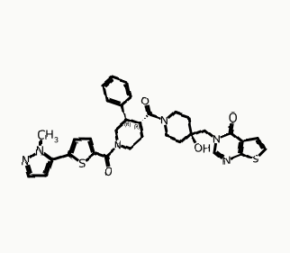 Cn1nccc1-c1ccc(C(=O)N2CC[C@@H](C(=O)N3CCC(O)(Cn4cnc5sccc5c4=O)CC3)[C@H](c3ccccc3)C2)s1